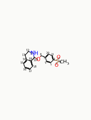 CS(=O)(=O)c1ccc(COC2NCCc3ccccc32)cc1